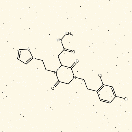 CNC(=O)CC1C(=O)N(CCc2ccc(Cl)cc2Cl)CC(=O)N1CCc1cccs1